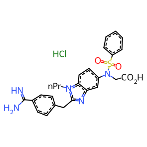 CCCn1c(Cc2ccc(C(=N)N)cc2)nc2cc(N(CC(=O)O)S(=O)(=O)c3ccccc3)ccc21.Cl